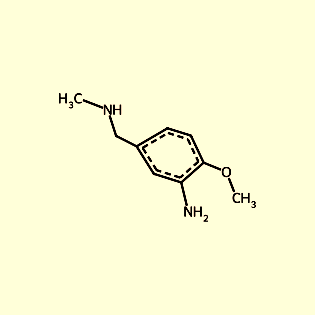 CNCc1ccc(OC)c(N)c1